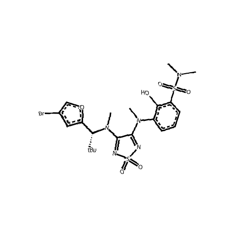 CN(C1=NS(=O)(=O)N=C1N(C)[C@@H](c1cc(Br)co1)C(C)(C)C)c1cccc(S(=O)(=O)N(C)C)c1O